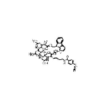 COC(=O)[C@H](CCCCNC(=O)c1ccc(N=[N+]=[N-])cc1)NC(=O)[C@H](CC(=O)O)NC(=O)[C@H](CC(=O)O)NC(=O)[C@H](CC(=O)O)NC(=O)OCC1c2ccccc2-c2ccccc21